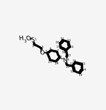 CSCCO[C@H]1CC[C@H](N(Cc2ccccc2)Cc2ccccc2)CC1